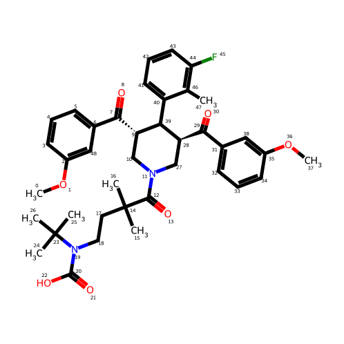 COc1cccc(C(=O)[C@H]2CN(C(=O)C(C)(C)CCN(C(=O)O)C(C)(C)C)C[C@H](C(=O)c3cccc(OC)c3)C2c2cccc(F)c2C)c1